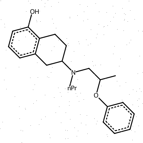 CCCN(CC(C)Oc1ccccc1)C1CCc2c(O)cccc2C1